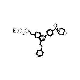 CCOC(=O)CCc1ccc2c(c1)c(CCc1ccccc1)cn2-c1ccc(C(=O)N2CCOCC2)cc1